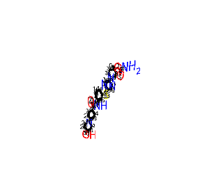 CC1(OC(N)=O)CCN(c2cnc(Sc3cccc(NC(=O)c4ccc(N5CCC(O)CC5)cc4)c3)cn2)CC1